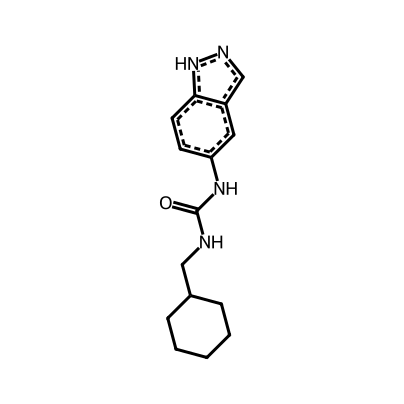 O=C(NCC1CCCCC1)Nc1ccc2[nH]ncc2c1